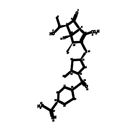 CC(O)[C@H]1C(=O)N2C(C(=O)O)=C(S[C@H]3C[C@@H](C(=O)N4CCN(C(=N)N)CC4)N(C)C3)[C@H](C)[C@H]12